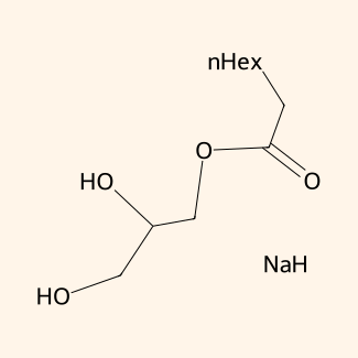 CCCCCCCC(=O)OCC(O)CO.[NaH]